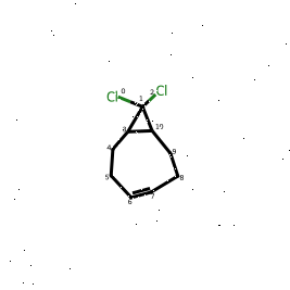 ClC1(Cl)C2CCC=CCCC21